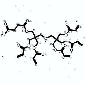 C=CC(=O)OCC(COCC(COC(=O)C=C)(COC(=O)C=C)COC(=O)CCC(=O)C(C)=O)(COC(=O)C=C)COC(=O)C=C